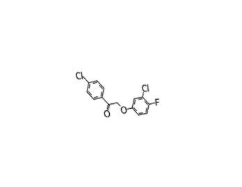 O=C(COc1ccc(F)c(Cl)c1)c1ccc(Cl)cc1